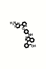 Nc1nccc(-c2cccnc2Oc2ccc(Nc3nnc(-c4ccccc4CO)c4ccccc34)cc2)n1